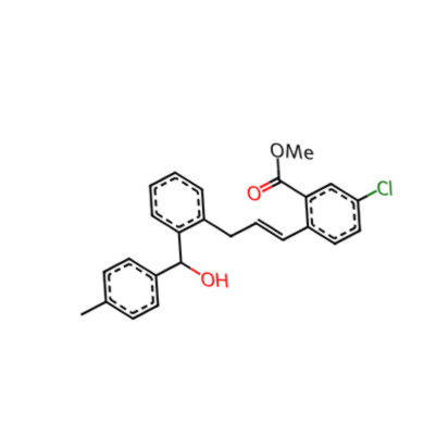 COC(=O)c1cc(Cl)ccc1/C=C/Cc1ccccc1C(O)c1ccc(C)cc1